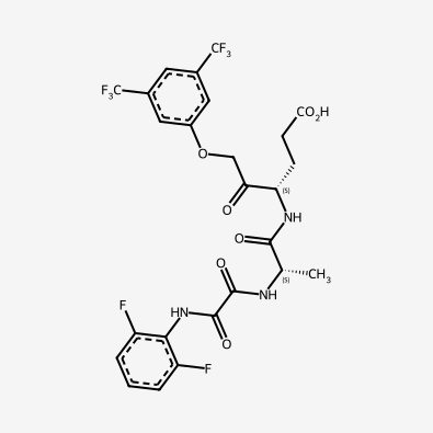 C[C@H](NC(=O)C(=O)Nc1c(F)cccc1F)C(=O)N[C@@H](CCC(=O)O)C(=O)COc1cc(C(F)(F)F)cc(C(F)(F)F)c1